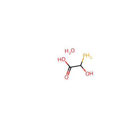 O.O=C(O)C(O)P